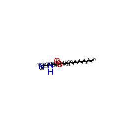 CCCCCCCCCCCCCCCOC(=O)CCNCCCN(C)C